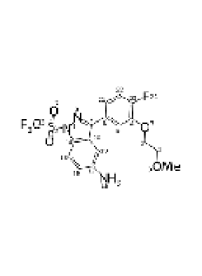 COCCOc1cc(-c2nn(S(=O)(=O)C(F)(F)F)c3ccc(N)cc23)ccc1F